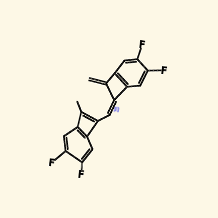 C=C1/C(=C\C2=C(C)c3cc(F)c(F)cc32)c2cc(F)c(F)cc21